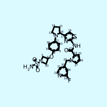 NS(=O)(=O)N1CC(Oc2ccc(N3CCCC3c3csc(NC(=O)c4cccn4Cc4ccnc(F)c4)n3)cc2)C1